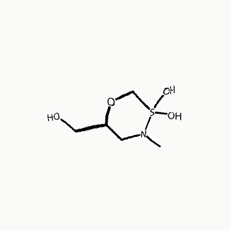 CN1CC(CO)OCS1(O)O